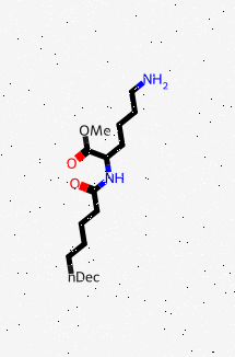 CCCCCCCCCCCCCCC(=O)NC(CCCCN)C(=O)OC